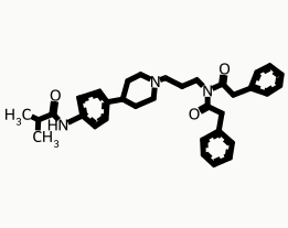 CC(C)C(=O)Nc1ccc(C2CCN(CCCN(C(=O)Cc3ccccc3)C(=O)Cc3ccccc3)CC2)cc1